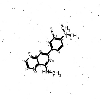 CNc1nc(-c2ccc(N(C)C)c(F)c2)cc2nccnc12